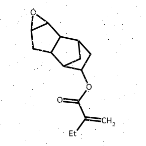 C=C(CC)C(=O)OC1CC2CC1C1CC3OC3C21